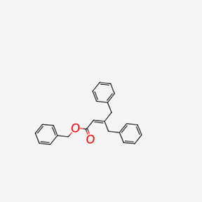 O=C(C=C(Cc1ccccc1)Cc1ccccc1)OCc1ccccc1